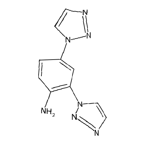 Nc1ccc(-n2ccnn2)cc1-n1ccnn1